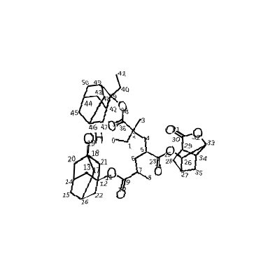 CCC(C)(CC(CC(C)C(=O)OC12CC3CC(CC(O)(C3)C1)C2)C(=O)OC1C2CC3C(=O)OC1C3C2)C(=O)OC1(CC)C2CC3CC(C2)CC1C3